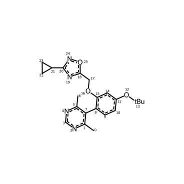 Cc1ncnc(C)c1-c1ccc(OC(C)(C)C)cc1OCc1nc(C2CC2)no1